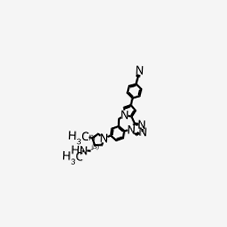 CNC[C@H]1CN(c2ccc3c(c2)Cn2cc(-c4ccc(C#N)cc4)cc2-c2nncn2-3)C[C@@H]1C